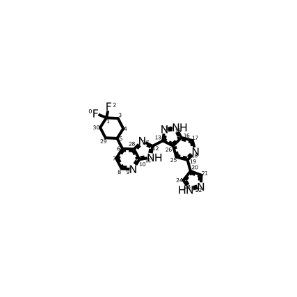 FC1(F)CCC(c2ccnc3[nH]c(-c4n[nH]c5cnc(-c6cn[nH]c6)cc45)nc23)CC1